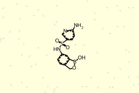 Nc1ccc(S(=O)(=O)Nc2ccc3c(c2)B(O)OC3)cn1